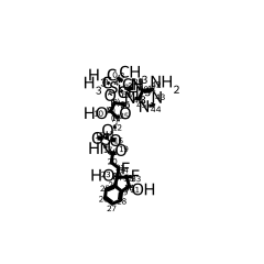 CC(C)(C)[Si](C)(C)O[C@@H]1[C@H](O)[C@@H](COS(=O)(=O)NC(=O)CC[C@@]2(O)c3ccccc3[C@@H](O)C2(F)F)O[C@H]1n1cnc2c(N)ncnc21